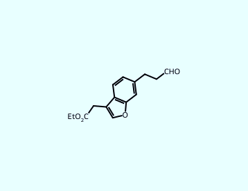 CCOC(=O)Cc1coc2cc(CCC=O)ccc12